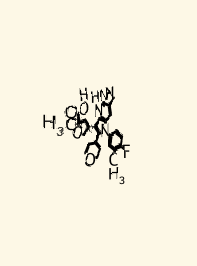 Cc1cc(-n2c(C3CCOCC3)c([C@@H]3CO[C@@](C)(C(=O)O)C3)c3nc4[nH]ncc4cc32)ccc1F